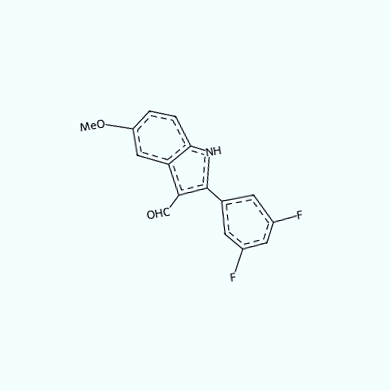 COc1ccc2[nH]c(-c3cc(F)cc(F)c3)c(C=O)c2c1